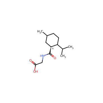 CC1CCC(C(C)C)[C@@H](C(=O)NCC(=O)O)C1